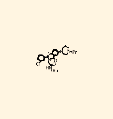 CC(C)N1CCCN(c2ccc3nc(-c4cccc(Cl)c4)n(CC(=O)NC(C)(C)C)c(=O)c3c2)CC1